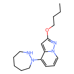 CCCCOc1cc2c(N3CCCCCN3)cccn2n1